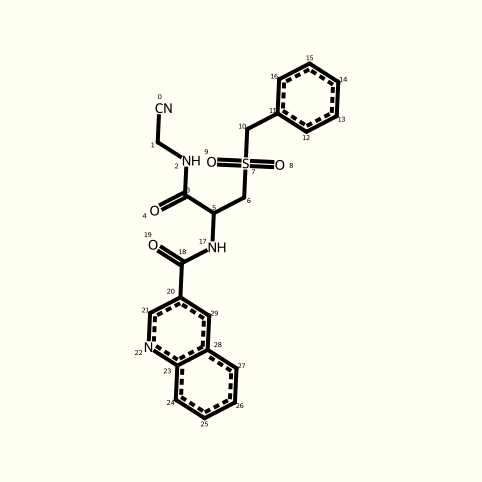 N#CCNC(=O)C(CS(=O)(=O)Cc1ccccc1)NC(=O)c1cnc2ccccc2c1